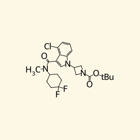 CN(C(=O)c1cn(C2CN(C(=O)OC(C)(C)C)C2)c2cccc(Cl)c12)C1CCC(F)(F)CC1